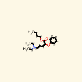 CCCCOC(=O)/C(=C\C=C\N(CC)CC)Oc1ccccc1